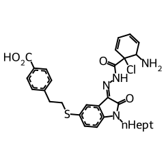 CCCCCCCN1C(=O)C(=NNC(=O)C2(Cl)C=CC=CC2N)c2cc(SCCc3ccc(C(=O)O)cc3)ccc21